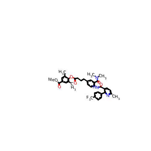 COC(=O)c1cc(C)c(OC(=O)CCCc2ccc(NC(=O)c3ccc(C)nc3-c3ccc(C(F)(F)F)cc3)c(C(=O)N(C)C)c2)c(C)c1